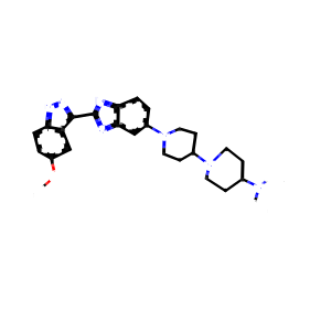 COc1ccc2[nH]nc(-c3nc4cc(N5CCC(N6CCC(N(C)C)CC6)CC5)ccc4[nH]3)c2c1